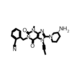 CC#Cn1c(N2CCC[C@@H](N)C2)nc2c1c(=O)n(Cc1ccccc1C#N)c(=O)n2C